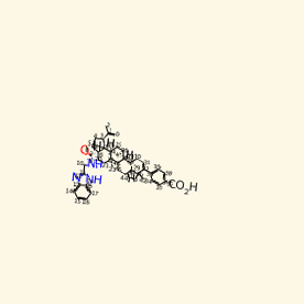 C=C(C)[C@@H]1CC[C@]2(C(=O)NCc3nc4ccccc4[nH]3)CC[C@]3(C)[C@H](CC[C@@H]4[C@@]5(C)CC=C(c6ccc(C(=O)O)cc6)C(C)(C)[C@@H]5CC[C@]43C)[C@@H]12